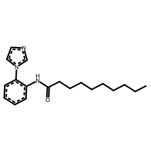 CCCCCCCCCC(=O)Nc1ccccc1-n1ccnc1